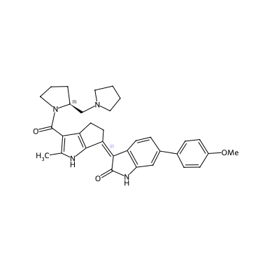 COc1ccc(-c2ccc3c(c2)NC(=O)/C3=C2/CCc3c2[nH]c(C)c3C(=O)N2CCC[C@H]2CN2CCCC2)cc1